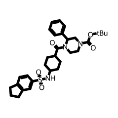 CC(C)(C)OC(=O)N1CCN(C(=O)C2CCC(NS(=O)(=O)c3ccc4c(c3)CCC4)CC2)C(c2ccccc2)C1